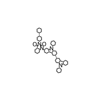 O=c1c2ccccc2n(-c2ccc3c4cc(-c5ccc6c(c5)c5ccccc5n6-c5ccccc5)ccc4n(-c4ccccc4)c3c2)c(=O)n1-c1ccc(-c2ccccc2)cc1